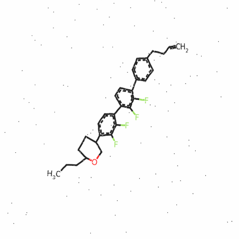 C=CCCc1ccc(-c2ccc(-c3ccc(C4CCC(CCC)OC4)c(F)c3F)c(F)c2F)cc1